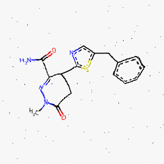 CN1N=C(C(N)=O)C(c2ncc(Cc3ccccc3)s2)CC1=O